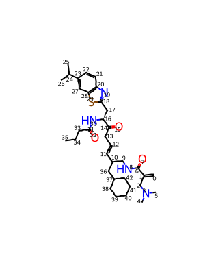 C=C(CN(C)C)C(=O)NCC(/C=C/CC(=O)[C@H](Cc1nc2ccc(C(C)C)cc2s1)NC(=O)CCC)CC1CCCCC1